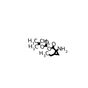 CCC1CC1(N)C(=O)OC(=O)OC(C)(C)C